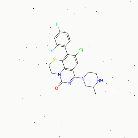 CC1CN(c2nc(=O)n3c4c(c(-c5ccc(F)cc5F)c(Cl)cc24)SCC3)CCN1